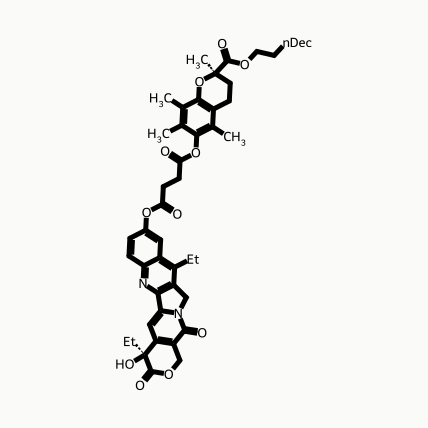 CCCCCCCCCCCCOC(=O)[C@@]1(C)CCc2c(C)c(OC(=O)CCC(=O)Oc3ccc4nc5c(c(CC)c4c3)Cn3c-5cc4c(c3=O)COC(=O)[C@]4(O)CC)c(C)c(C)c2O1